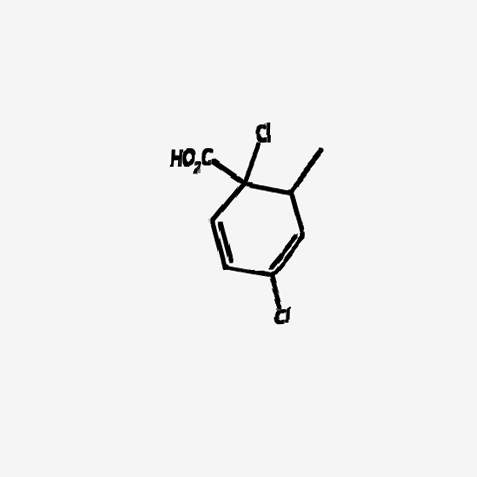 CC1C=C(Cl)C=CC1(Cl)C(=O)O